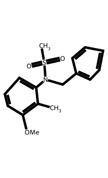 COc1cccc(N(Cc2ccccc2)S(C)(=O)=O)c1C